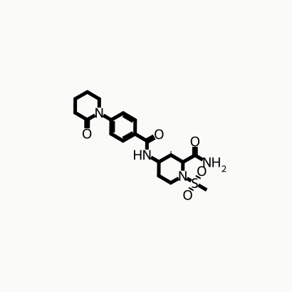 CS(=O)(=O)N1CCC(NC(=O)c2ccc(N3CCCCC3=O)cc2)[CH]C1C(N)=O